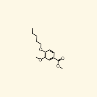 CCCCCOc1ccc(C(=O)OC)cc1OC